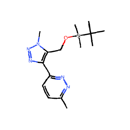 Cc1ccc(-c2nnn(C)c2CO[Si](C)(C)C(C)(C)C)nn1